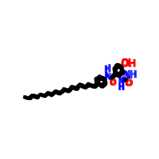 CCCCCCCCCCCCCCCCCCc1ccc(NC(=O)c2ccc(O)c3[nH]c(=O)[nH]c23)cc1